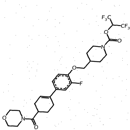 O=C(OC(C(F)(F)F)C(F)(F)F)N1CCC(COc2ccc(C3=CCC(C(=O)N4CCOCC4)CC3)cc2F)CC1